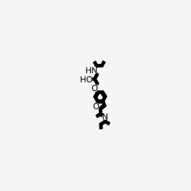 CCC(C)N=C(C)c1cc2ccc(OCC(O)CNC(C)CC)cc2o1